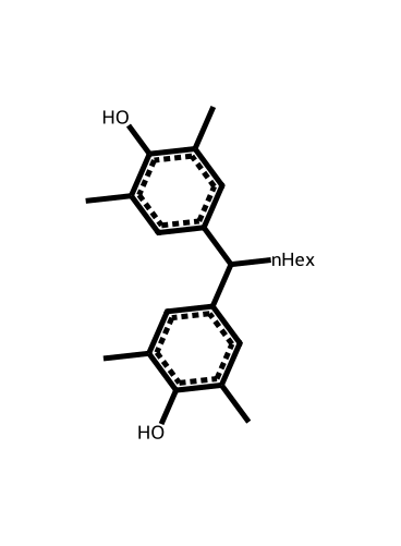 CCCCCCC(c1cc(C)c(O)c(C)c1)c1cc(C)c(O)c(C)c1